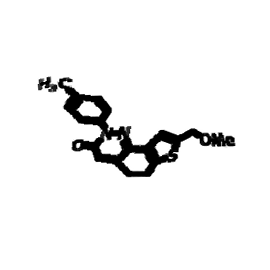 COCc1cc2c(s1)CCc1cc(=O)n(-c3ccc(C)cc3)nc1-2